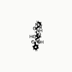 C[C@@]1(CN(O)C(=O)c2ccccc2)CO[C@H](CNC(=O)c2ncccn2)[C@H]1O